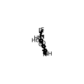 C=N/C(=C\C=C(/C)C(F)(F)F)N[C@@H]1CCN(S(=O)(=O)c2ccc(-c3ccc4[nH]ncc4c3C)cc2)C[C@@H]1O